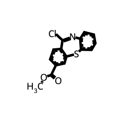 COC(=O)c1ccc2c(c1)Sc1ccccc1N=C2Cl